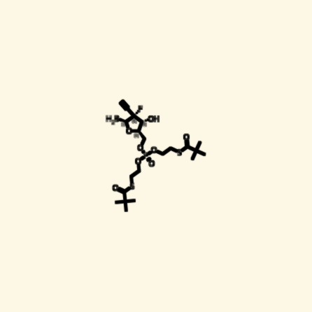 B[C@@H]1O[C@H](COP(=O)(OCCSC(=O)C(C)(C)C)OCCSC(=O)C(C)(C)C)[C@@H](O)[C@]1(F)C#C